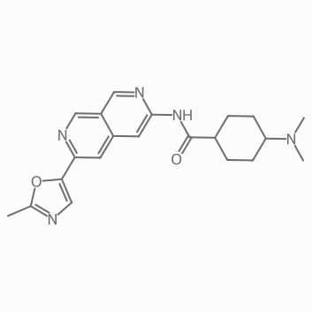 Cc1ncc(-c2cc3cc(NC(=O)C4CCC(N(C)C)CC4)ncc3cn2)o1